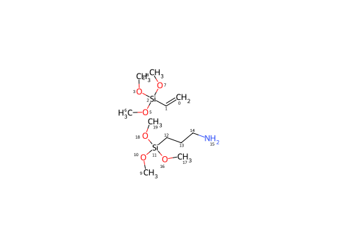 C=C[Si](OC)(OC)OC.CO[Si](CCCN)(OC)OC